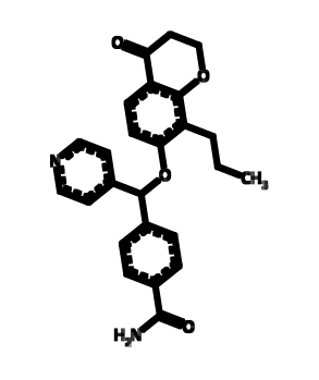 CCCc1c(OC(c2ccncc2)c2ccc(C(N)=O)cc2)ccc2c1OCCC2=O